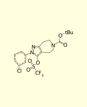 CC(C)(C)OC(=O)N1CCc2nn(-c3cccc(Cl)c3)c(OS(=O)(=O)C(F)(F)F)c2CC1